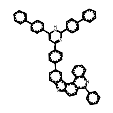 C1=C(c2ccc(-c3ccccc3)cc2)NC(c2ccc(-c3ccccc3)cc2)N=C1c1ccc(-c2ccc3sc4ccc5c(-c6ccccc6)nc6ccccc6c5c4c3c2)cc1